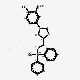 CNc1cc(N2CC[C@@H](CO[Si](c3ccccc3)(c3ccccc3)C(C)(C)C)C2)ccc1N